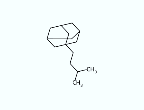 C[C](C)CCC12CC3CC(CC(C3)C1)C2